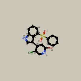 O=S(=O)(c1ccccc1)c1cccc2[nH]cc(-c3cc(Br)ncc3Cl)c12